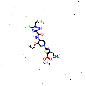 CCc1nc(N2CCC(NC(=O)c3nc(Cl)c(CC)[nH]3)C(OC)C2)sc1C(=O)OC